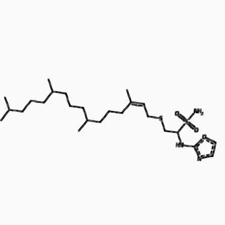 CC(=CCSCC(Nc1ncco1)S(N)(=O)=O)CCCC(C)CCCC(C)CCCC(C)C